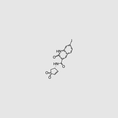 O=C(N[C@@H]1C=CS(=O)(=O)C1)c1cc2ccc(I)cc2[nH]c1=O